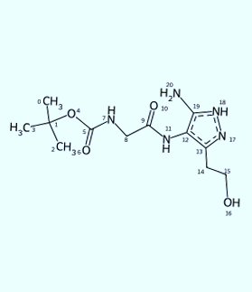 CC(C)(C)OC(=O)NCC(=O)Nc1c(CCO)n[nH]c1N